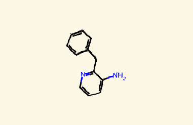 Nc1cccnc1Cc1ccccc1